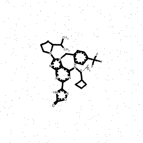 CC(C)C1CCCN1c1nc2nc(-c3noc(=O)[nH]3)nc(N[C@H](C)C3CCC3)c2n1Cc1ccc(C(F)(F)F)cc1